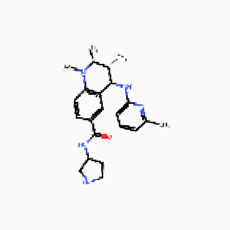 CC(=O)N1c2ccc(C(=O)NC3CCNC3)cc2[C@H](Nc2cccc(C)n2)[C@@H](C)[C@@H]1C